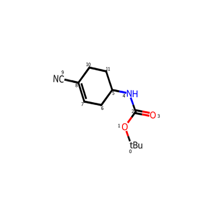 CC(C)(C)OC(=O)NC1CC=C(C#N)CC1